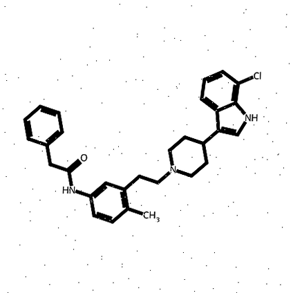 Cc1ccc(NC(=O)Cc2ccccc2)cc1CCN1CCC(c2c[nH]c3c(Cl)cccc23)CC1